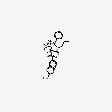 CCCN(C(=O)[C@](C)(CS(C)(=O)=O)S(=O)(=O)c1ccc2nc(N)sc2c1)[C@H](N)c1ccccc1